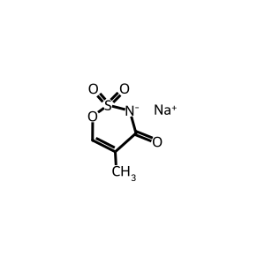 CC1=COS(=O)(=O)[N-]C1=O.[Na+]